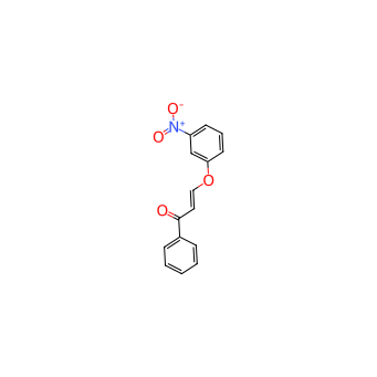 O=C(/C=C/Oc1cccc([N+](=O)[O-])c1)c1ccccc1